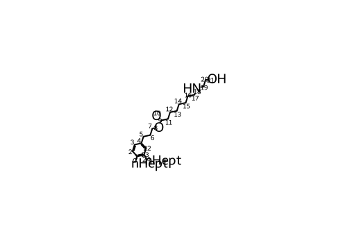 CCCCCCCc1ccc(CCCOC(=O)CCCCCCCNCCO)cc1CCCCCCC